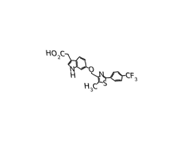 Cc1sc(-c2ccc(C(F)(F)F)cc2)nc1COc1ccc2c(CC(=O)O)c[nH]c2c1